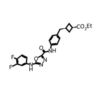 CCOC(=O)[C@H]1C[C@@H](Cc2ccc(NC(=O)c3nnc(Nc4ccc(F)c(F)c4)o3)cc2)C1